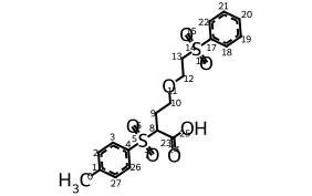 Cc1ccc(S(=O)(=O)C(CCOCCS(=O)(=O)c2ccccc2)C(=O)O)cc1